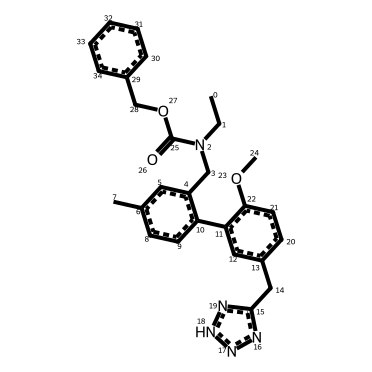 CCN(Cc1cc(C)ccc1-c1cc(Cc2nn[nH]n2)ccc1OC)C(=O)OCc1ccccc1